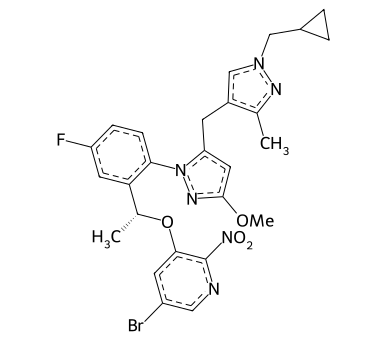 COc1cc(Cc2cn(CC3CC3)nc2C)n(-c2ccc(F)cc2[C@@H](C)Oc2cc(Br)cnc2[N+](=O)[O-])n1